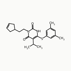 Cc1cc(C)cc(Sc2[nH]c(=O)n(CCC3CC=CC3)c(=O)c2C(C)C)c1